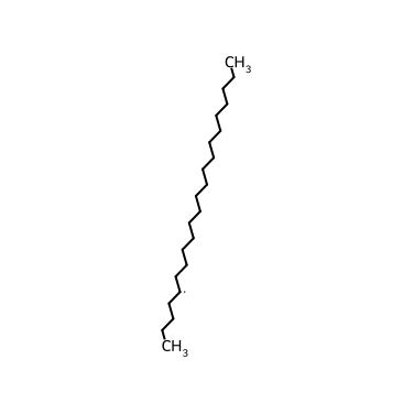 CCCC[CH]CCCCCCCCCCCCCCCCC